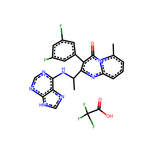 Cc1cccc2nc(C(C)Nc3ncnc4[nH]cnc34)c(-c3cc(F)cc(F)c3)c(=O)n12.O=C(O)C(F)(F)F